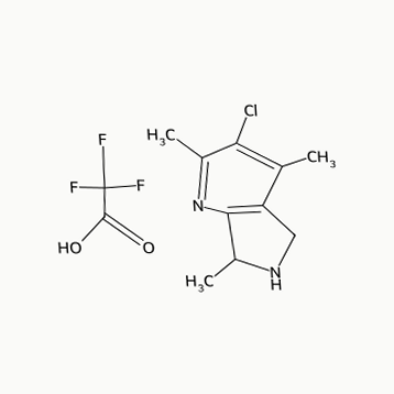 Cc1nc2c(c(C)c1Cl)CNC2C.O=C(O)C(F)(F)F